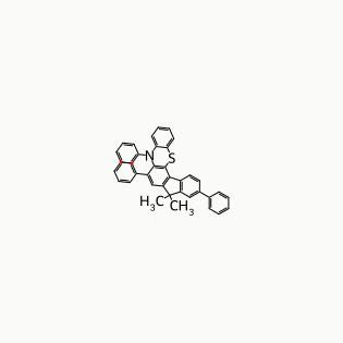 CC1(C)c2cc(-c3ccccc3)ccc2-c2c1cc(-c1ccccc1)c1c2Sc2ccccc2N1c1ccccc1